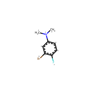 CN(C)c1ccc(F)c(Br)c1